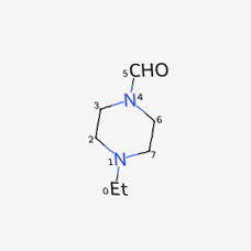 [CH2]CN1CCN(C=O)CC1